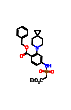 CCOC(=O)CS(=O)(=O)Nc1ccc(C(=O)OCc2ccccc2)c(N2CCC3(CC2)CC3)c1